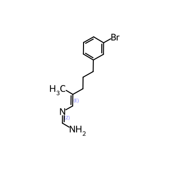 C/C(=C\N=C/N)CCCc1cccc(Br)c1